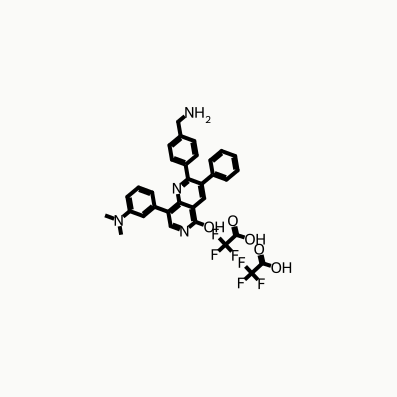 CN(C)c1cccc(-c2cnc(O)c3cc(-c4ccccc4)c(-c4ccc(CN)cc4)nc23)c1.O=C(O)C(F)(F)F.O=C(O)C(F)(F)F